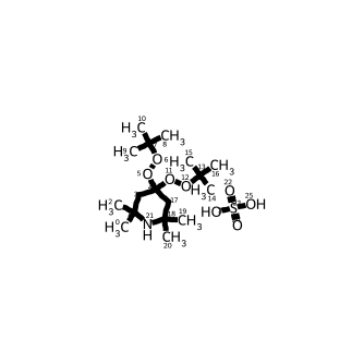 CC1(C)CC(OOC(C)(C)C)(OOC(C)(C)C)CC(C)(C)N1.O=S(=O)(O)O